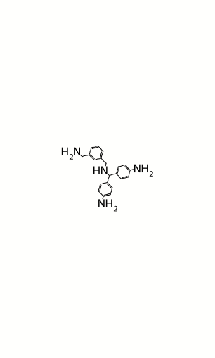 NCc1cccc(CNC(c2ccc(N)cc2)c2ccc(N)cc2)c1